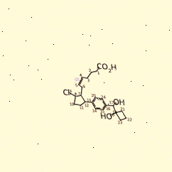 O=C(O)CCC/C=C\CC1C(Cl)CCC1c1ccc(C(O)C2(O)CCC2)cc1